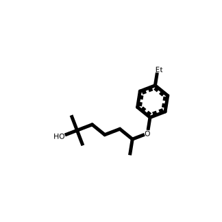 CCc1ccc(OC(C)CCCC(C)(C)O)cc1